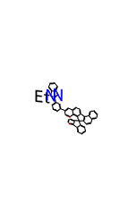 CCn1c(-c2cccc(-c3ccc4c5c(ccc4c3)-c3c(ccc4ccccc34)C53c4ccccc4-c4ccccc43)c2)nc2ccccc21